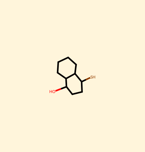 OC1CCC(S)C2CCCCC12